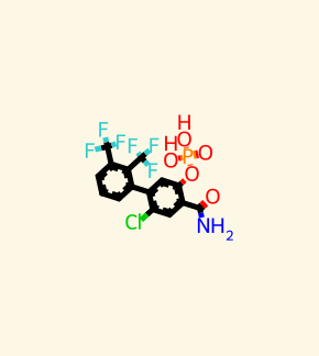 NC(=O)c1cc(Cl)c(-c2cccc(C(F)(F)F)c2C(F)(F)F)cc1OP(=O)(O)O